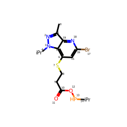 Cc1nn(C(C)C)c2c(SCCC(=O)OPC(C)C)cc(Br)nc12